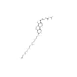 CC(C)NC(=O)CC[C@@H](C)[C@H]1CCC2C3CCC4C[C@@H](NCCNCCNCCNCCNCCN)CC[C@]4(C)C3CC[C@@]21C